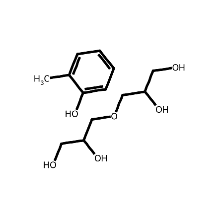 Cc1ccccc1O.OCC(O)COCC(O)CO